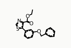 CCOC(=O)c1ncsc1-c1cccc(OCc2ccccc2)c1